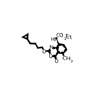 CCOC(=O)Nc1ccc(C)c2c(=O)oc(OCCCCC3CC3)nc12